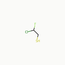 FC(Cl)CS